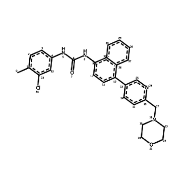 Cc1ccc(NC(=O)Nc2ccc(-c3ccc(CN4CCOCC4)nc3)c3ccccc23)cc1Cl